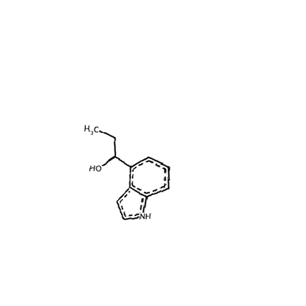 CCC(O)c1cccc2[nH]ccc12